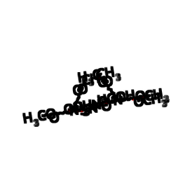 CCCCOC(=O)CCCCCCC(O)CN(CCCSSCCN1CCN(CCOC(=O)CCCCN(CC(O)CCCCCCC(=O)OCCC(C)C)CC(O)CCCCCCC(=O)OCCC(C)C)CC1)CC(O)CCCCCCC(=O)OCCCC